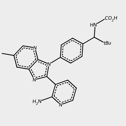 Cc1cnc2c(c1)nc(-c1cccnc1N)n2-c1ccc(C(NC(=O)O)C(C)(C)C)cc1